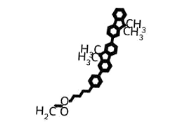 C=CC(=O)OCCCCCc1ccc(-c2ccc3c(c2)C(C)(C)c2cc(-c4ccc5c(c4)C(C)(C)c4ccccc4-5)ccc2-3)cc1